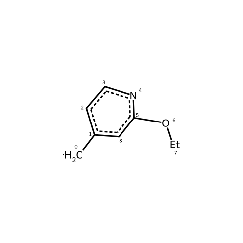 [CH2]c1ccnc(OCC)c1